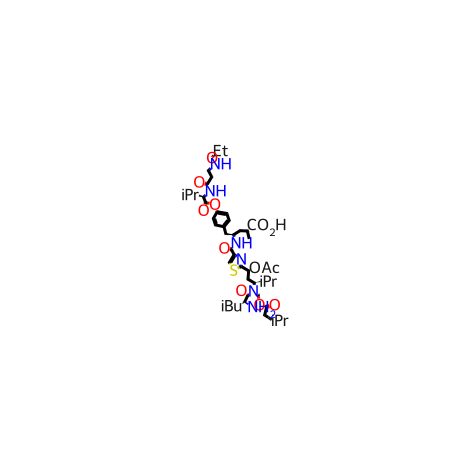 CCONCCC(=O)N[C@@H](C(=O)Oc1ccc(C[C@@H](C[C@H](C)C(=O)O)NC(=O)c2csc([C@@H](C[C@H](C(C)C)N(COC(=O)CC(C)C)C(=O)[C@@H](N)[C@@H](C)CC)OC(C)=O)n2)cc1)C(C)C